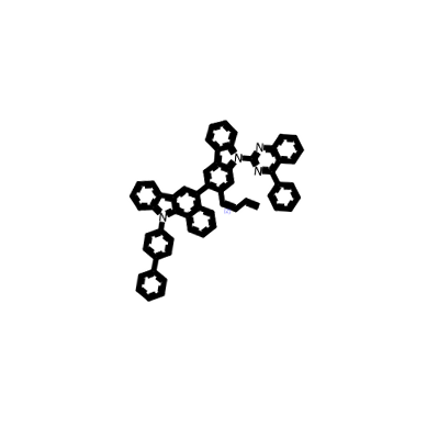 C=C/C=C\c1cc2c(cc1-c1cc3c4ccccc4n(-c4ccc(-c5ccccc5)cc4)c3c3ccccc13)c1ccccc1n2-c1nc(-c2ccccc2)c2ccccc2n1